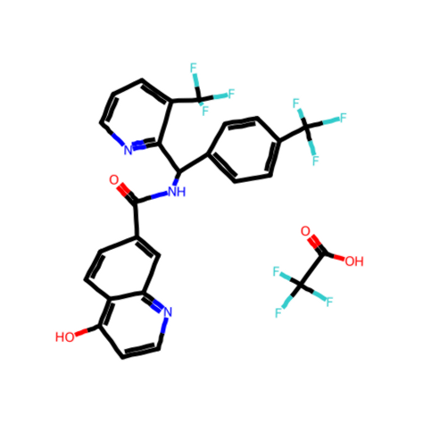 O=C(NC(c1ccc(C(F)(F)F)cc1)c1ncccc1C(F)(F)F)c1ccc2c(O)ccnc2c1.O=C(O)C(F)(F)F